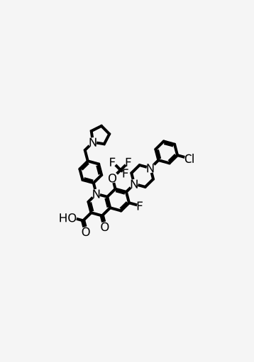 O=C(O)c1cn(-c2ccc(CN3CCCC3)cc2)c2c(OC(F)(F)F)c(N3CCN(c4cccc(Cl)c4)CC3)c(F)cc2c1=O